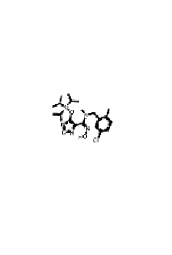 Cc1ccc(Cl)cc1CN(C)C(=NO)c1nonc1O[Si](C(C)C)(C(C)C)C(C)C